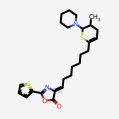 CC1CC=C(CCCCCC/C=C2\N=C(c3cccs3)OC2=O)SC1N1CCCCC1